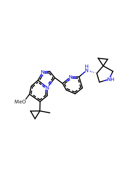 COc1cc2ncc(-c3cccc(N[C@H]4CNCC45CC5)n3)n2cc1C1(C)CC1